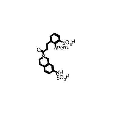 CCCCCc1c(CCC(=O)N2CCc3ccc(NS(=O)(=O)O)cc3C2)cccc1S(=O)(=O)O